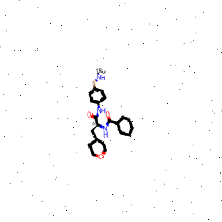 CC(C)(C)NSc1ccc(NC(=O)[C@H](CC2CCOCC2)NC(=O)C2CCCCC2)cc1